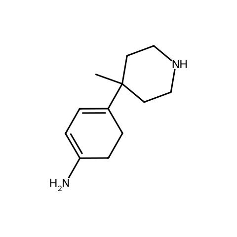 CC1(C2=CC=C(N)CC2)CCNCC1